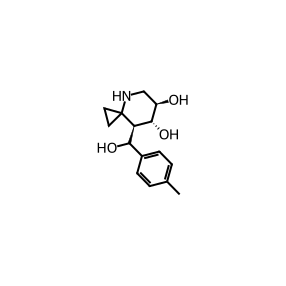 Cc1ccc(C(O)[C@@H]2[C@@H](O)[C@H](O)CNC23CC3)cc1